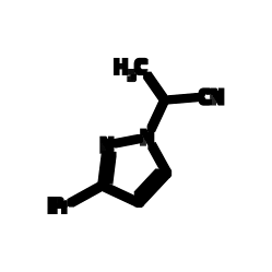 CC(C)c1ccn(C(C)C#N)n1